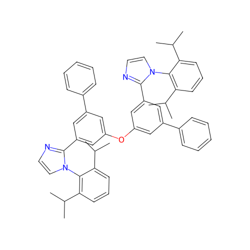 CC(C)c1cccc(C(C)C)c1-n1ccnc1-c1cc(Oc2cc(-c3ccccc3)cc(-c3nccn3-c3c(C(C)C)cccc3C(C)C)c2)cc(-c2ccccc2)c1